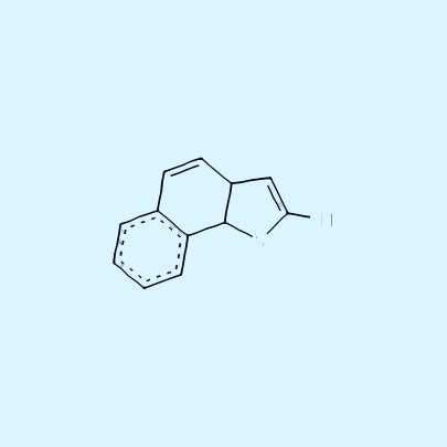 [2H]C1=CC2C=Cc3ccccc3C2S1